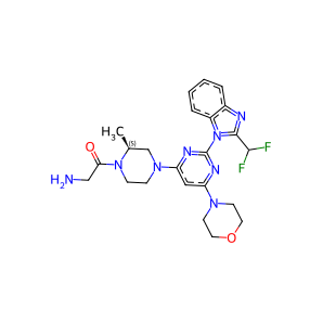 C[C@H]1CN(c2cc(N3CCOCC3)nc(-n3c(C(F)F)nc4ccccc43)n2)CCN1C(=O)CN